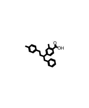 Cc1ccc(CCC(Cc2ccccc2)c2ccc(C(=O)O)c(C)c2)cc1